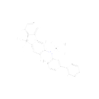 Cc1cc2c(cc1N(c1cccc(-c3ccccc3)c1)C(C)(C)C)-c1ccccc1C2(C)C